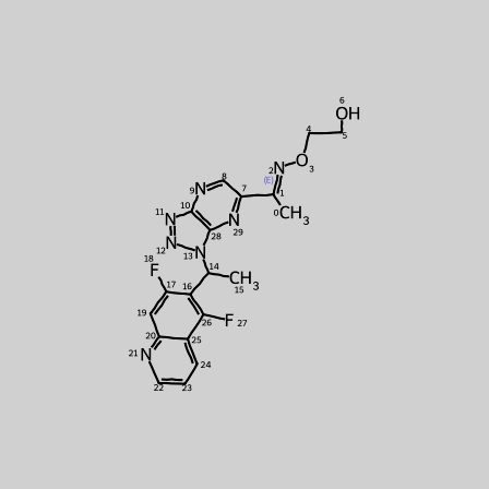 C/C(=N\OCCO)c1cnc2nnn(C(C)c3c(F)cc4ncccc4c3F)c2n1